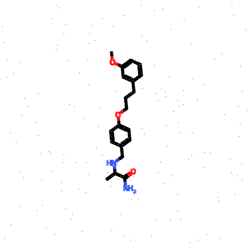 COc1cccc(CCCOc2ccc(CNC(C)C(N)=O)cc2)c1